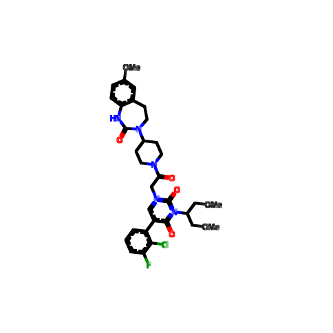 COCC(COC)n1c(=O)c(-c2cccc(F)c2Cl)cn(CC(=O)N2CCC(N3CCc4cc(OC)ccc4NC3=O)CC2)c1=O